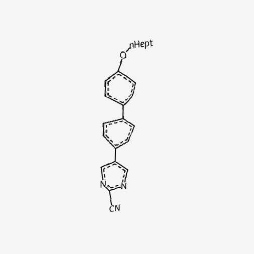 CCCCCCCOc1ccc(-c2ccc(-c3cnc(C#N)nc3)cc2)cc1